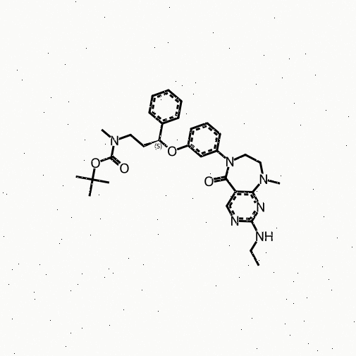 CCNc1ncc2c(n1)N(C)CCN(c1cccc(O[C@@H](CCN(C)C(=O)OC(C)(C)C)c3ccccc3)c1)C2=O